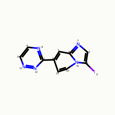 Ic1cnc2cc(-c3nccnn3)ccn12